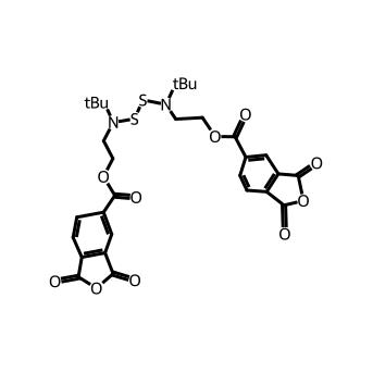 CC(C)(C)N(CCOC(=O)c1ccc2c(c1)C(=O)OC2=O)SSN(CCOC(=O)c1ccc2c(c1)C(=O)OC2=O)C(C)(C)C